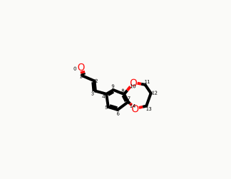 O=CC=Cc1ccc2c(c1)OCCCO2